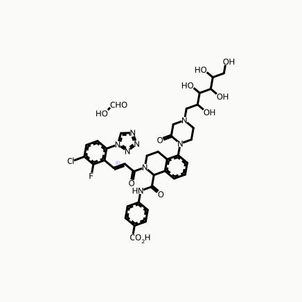 O=C(O)c1ccc(NC(=O)C2c3cccc(N4CCN(CC(O)C(O)C(O)C(O)CO)CC4=O)c3CCN2C(=O)/C=C/c2c(-n3cnnn3)ccc(Cl)c2F)cc1.O=CO